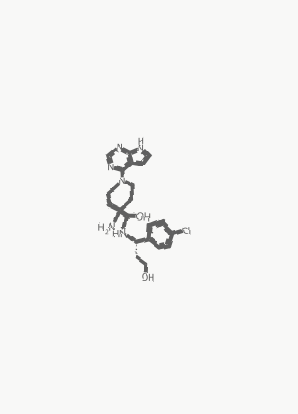 NC1(C(O)N[C@@H](CCO)c2ccc(Cl)cc2)CCN(c2ncnc3[nH]ccc23)CC1